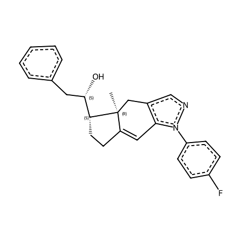 C[C@]12Cc3cnn(-c4ccc(F)cc4)c3C=C1CC[C@@H]2[C@@H](O)Cc1ccccc1